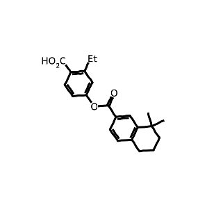 CCc1cc(OC(=O)c2ccc3c(c2)C(C)(C)CCC3)ccc1C(=O)O